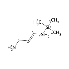 C[Si](C)(C)[SiH2]C=CCN